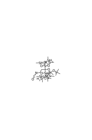 C[SiH2]O[Si](O[SiH2]C)(O[SiH2]C)C(CCN=C=O)(O[Si](C)(O[Si](C)(C)C)O[Si](C)(C)C)[Si](O[SiH2]C)(O[SiH2]C)O[SiH2]C